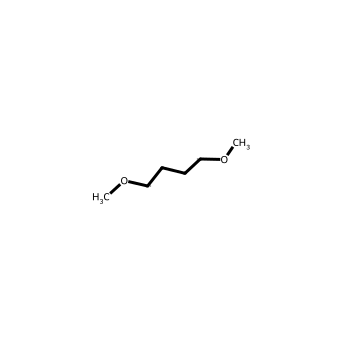 CO[CH]CC[CH]OC